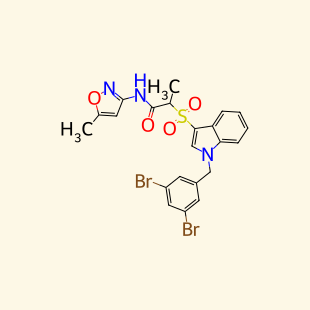 Cc1cc(NC(=O)C(C)S(=O)(=O)c2cn(Cc3cc(Br)cc(Br)c3)c3ccccc23)no1